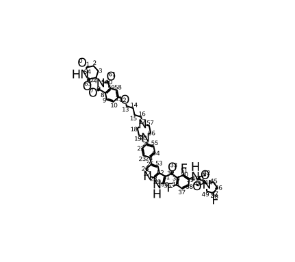 O=C1CCC(N2C(=O)c3ccc(OCCCCN4CCN(c5ccc(-c6cnc7[nH]cc(C(=O)c8c(F)ccc(NS(=O)(=O)N9CC[C@@H](F)C9)c8F)c7c6)cc5)CC4)cc3C2=O)C(=O)N1